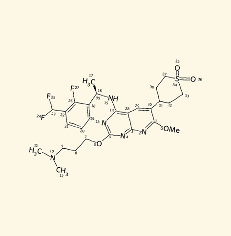 COc1nc2nc(OCCCN(C)C)nc(N[C@H](C)c3cccc(C(F)F)c3F)c2cc1C1CCS(=O)(=O)CC1